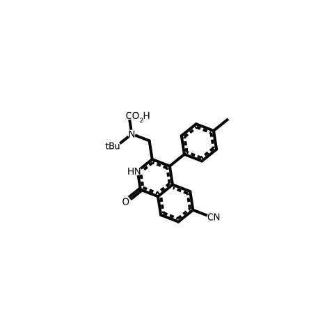 Cc1ccc(-c2c(CN(C(=O)O)C(C)(C)C)[nH]c(=O)c3ccc(C#N)cc23)cc1